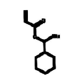 C=CC(=O)OC(C1CCCCC1)C(C)(C)C